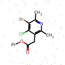 Cc1nc(C)c(CC(=O)OC(C)C)c(Cl)c1Br